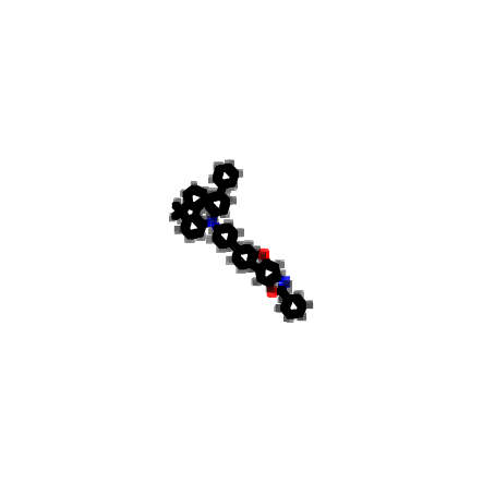 CC1(C)c2ccccc2-c2c(N(c3ccc(-c4ccccc4)cc3)c3ccc(-c4ccc5c(c4)oc4cc6nc(-c7ccccc7)oc6cc45)cc3)cccc21